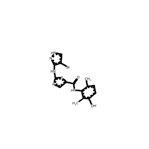 Cc1ccc(O)c(C)c1NC(=O)c1cnc(Nc2n[nH]cc2Br)s1